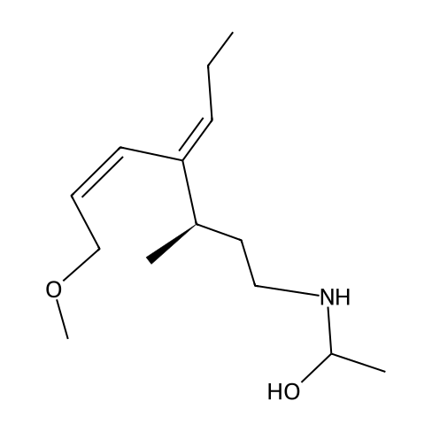 CC/C=C(\C=C/COC)[C@H](C)CCNC(C)O